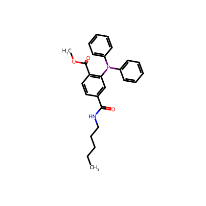 CCCCCNC(=O)c1ccc(C(=O)OC)c(P(c2ccccc2)c2ccccc2)c1